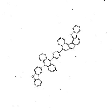 c1ccc2c(c1)oc1ccc(-c3c4ccccc4c(-c4ccc(-c5cc6sc7ccc8c9ccccc9oc8c7c6c6ccccc56)cc4)c4ccccc34)cc12